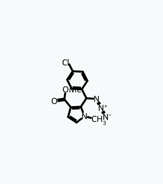 COC(=O)c1ccn(C)c1C(N=[N+]=[N-])c1ccc(Cl)cc1